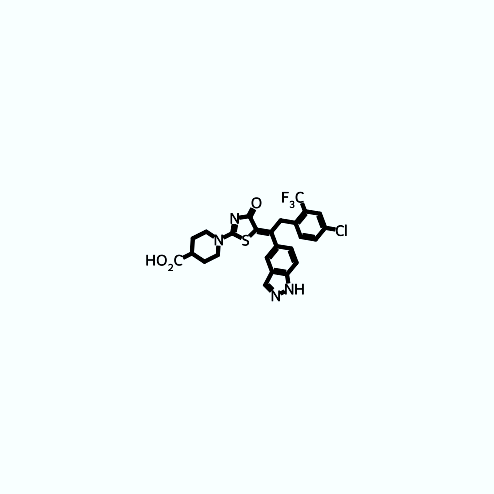 O=C1N=C(N2CCC(C(=O)O)CC2)SC1=C(Cc1ccc(Cl)cc1C(F)(F)F)c1ccc2[nH]ncc2c1